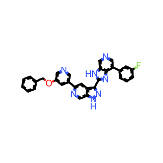 Fc1cccc(-c2cncc3[nH]c(-c4n[nH]c5cnc(-c6cncc(OCc7ccccc7)c6)cc45)nc23)c1